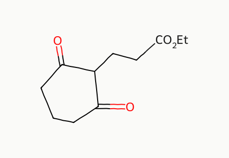 CCOC(=O)CCC1C(=O)CCCC1=O